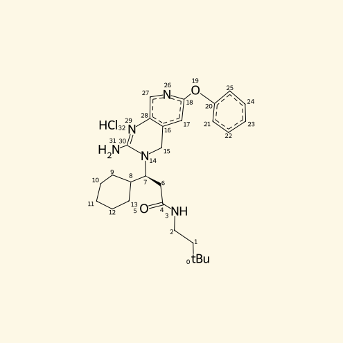 CC(C)(C)CCNC(=O)C[C@@H](C1CCCCC1)N1Cc2cc(Oc3ccccc3)ncc2N=C1N.Cl